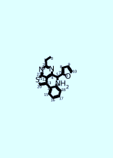 CCc1nc(C(N)c2ccco2)c2c(-c3ccccc3)csc2n1